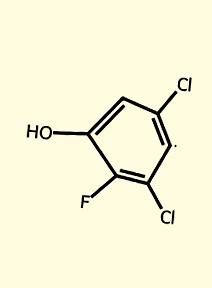 Oc1cc(Cl)[c]c(Cl)c1F